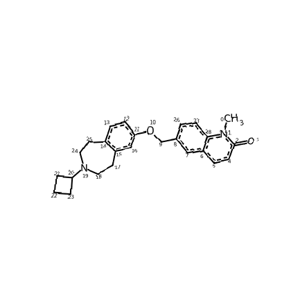 Cn1c(=O)ccc2cc(COc3ccc4c(c3)CCN(C3CCC3)CC4)ccc21